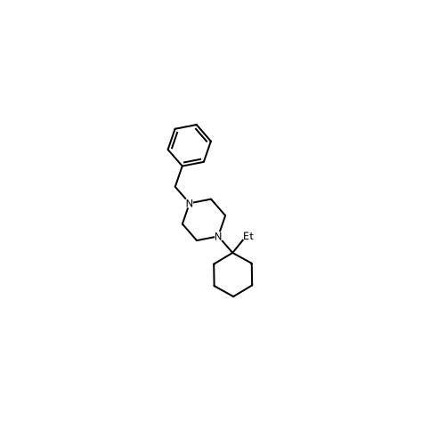 CCC1(N2CCN(Cc3ccccc3)CC2)CCCCC1